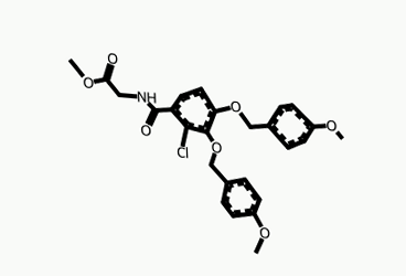 COC(=O)CNC(=O)c1ccc(OCc2ccc(OC)cc2)c(OCc2ccc(OC)cc2)c1Cl